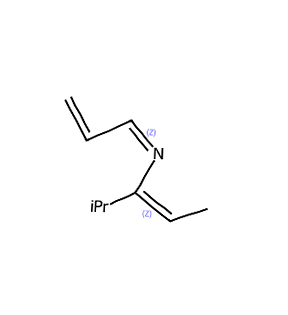 C=C/C=N\C(=C/C)C(C)C